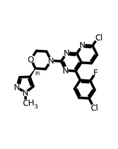 Cn1cc([C@@H]2CN(c3nc(-c4ccc(Cl)cc4F)c4ccc(Cl)nc4n3)CCO2)cn1